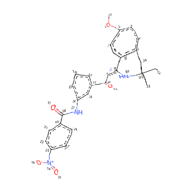 COc1ccc2c(c1)/C(=C/C(=O)c1cccc(NC(=O)c3ccc([N+](=O)[O-])cc3)c1)NC(C)(C)C2